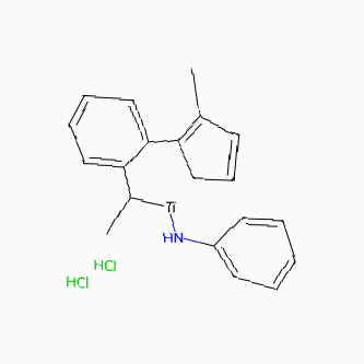 CC1=C(c2ccccc2[CH](C)[Ti][NH]c2ccccc2)CC=C1.Cl.Cl